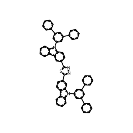 c1ccc(-c2cc(-c3ccccc3)cc(-n3c4ccccc4c4cc(-c5nnc(-c6ccc7c8ccccc8n(-c8cc(-c9ccccc9)cc(-c9ccccc9)c8)c7c6)s5)ccc43)c2)cc1